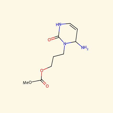 COC(=O)OCCCN1C(=O)NC=CC1N